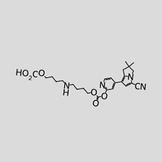 CC1(C)Cc2c(-c3ccnc(OC(=O)OCCCCNCCCCOC(=O)O)c3)cc(C#N)n2C1